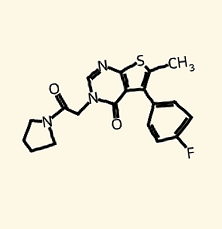 Cc1sc2ncn(CC(=O)N3CCCC3)c(=O)c2c1-c1ccc(F)cc1